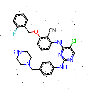 N#Cc1c(Nc2nc(Nc3ccc(CN4CCNCC4)cc3)ncc2Cl)cccc1OCc1ccccc1F